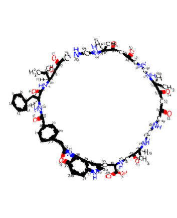 CC(C)[C@@H]1NC(=O)[C@H](Cc2ccccc2)NC(=O)c2ccc(cc2)-c2nc3c(ccc4[nH]cc(c43)CC(C(=O)O)NCC(=O)[C@H](C)NCNCC(=O)CC(=O)[C@H](C)NCNCC(=O)CC(=O)[C@H](C)NCNCC(=O)C1=O)o2